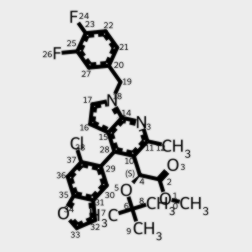 COC(=O)[C@@H](OC(C)(C)C)c1c(C)nc2c(ccn2Cc2ccc(F)c(F)c2)c1-c1cc2ccoc2cc1Cl